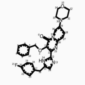 O=c1c(OCc2ccccc2)c(-c2ncc(Cc3ccc(F)cc3)[nH]2)nc2ccc(N3CCOCC3)cn12